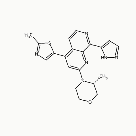 Cc1ncc(-c2cc(N3CCOC[C@H]3C)nc3c(-c4ccn[nH]4)nccc23)s1